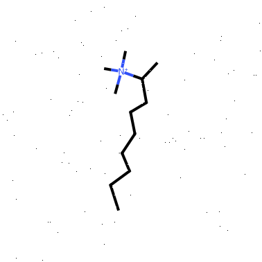 CCC[CH]CCCC(C)[N+](C)(C)C